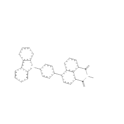 CN1C(=O)c2cccc3c(-c4ccc(-n5c6ccccc6c6ccccc65)cc4)ccc(c23)C1=O